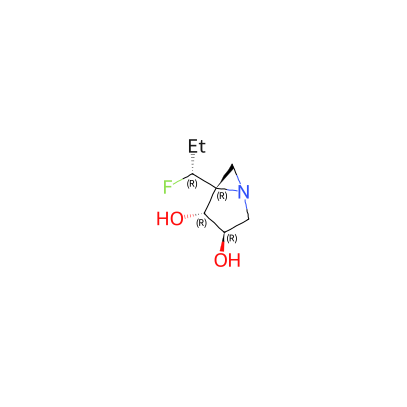 CC[C@@H](F)[C@]12CN1C[C@@H](O)[C@@H]2O